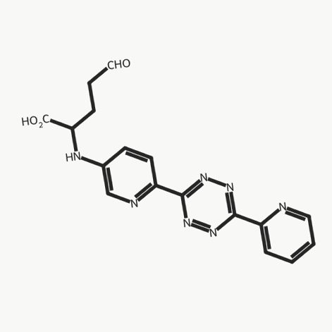 O=CCCC(Nc1ccc(-c2nnc(-c3ccccn3)nn2)nc1)C(=O)O